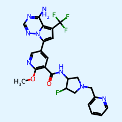 COc1ncc(-c2cc(C(F)(F)F)c3c(N)ncnn23)cc1C(=O)NC1CN(Cc2ccccn2)CC1F